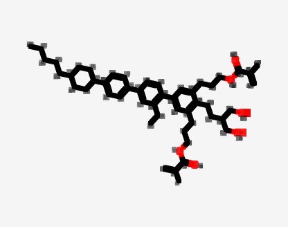 C=C(C)C(=O)OCCCc1cc(-c2ccc(-c3ccc(C4CCC(CCCCC)CC4)cc3)cc2CC)cc(CCCOC(=O)C(=C)C)c1CCC(CO)CO